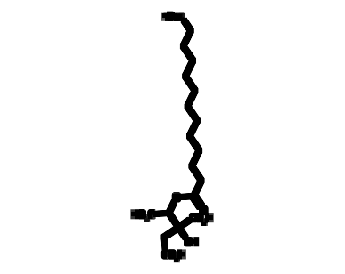 CCCCCCCCCCCCCCCCCCCCCC(=O)OC(C(=O)O)C(O)(CC(=O)O)C(=O)O